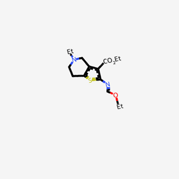 CCOC=Nc1sc2c(c1C(=O)OCC)CN(CC)CC2